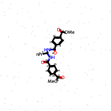 CCCC(NC(=O)c1ccc(C(=O)OC)cc1)NC(=O)c1ccc(C(=O)OC)cc1